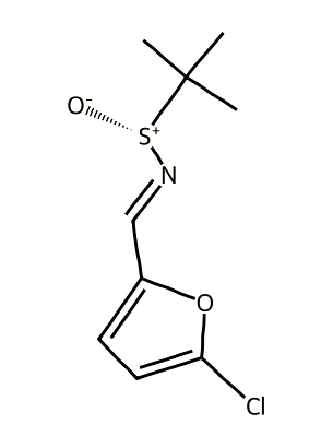 CC(C)(C)[S@@+]([O-])/N=C/c1ccc(Cl)o1